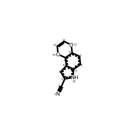 N#Cc1cc2c3c(ccc2[nH]1)OC=CO3